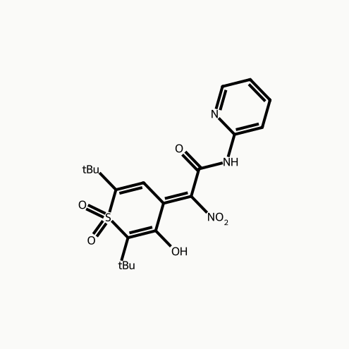 CC(C)(C)C1=C/C(=C(\C(=O)Nc2ccccn2)[N+](=O)[O-])C(O)=C(C(C)(C)C)S1(=O)=O